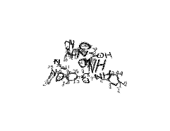 Cc1ccc(CNC[C@H](CC(=O)c2cccc(C=C(C#N)C(=O)N(C)C)c2)NC(=O)[C@H](O)[C@H](C)NC(=O)c2cc(C)on2)cc1